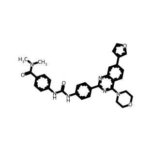 CN(C)C(=O)c1ccc(NC(=O)Nc2ccc(-c3nc(N4CCOCC4)c4ccc(-c5ccoc5)cc4n3)cc2)cc1